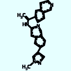 C=C(Nc1cc2cc(-c3cnn(C)c3)ccc2cn1)c1ccc2cnccc2c1